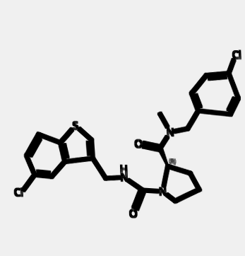 CN(Cc1ccc(Cl)cc1)C(=O)[C@H]1CCCN1C(=O)NCc1csc2ccc(Cl)cc12